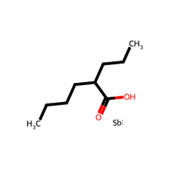 CCCCC(CCC)C(=O)O.[Sb]